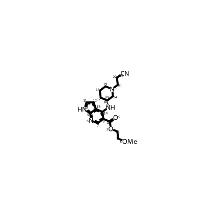 COCCOC(=O)c1cnc2[nH]ccc2c1N[C@@H]1CCCN(CCC#N)C1